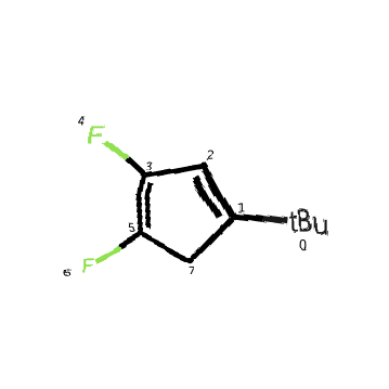 CC(C)(C)C1=CC(F)=C(F)C1